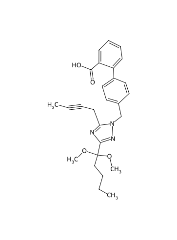 CC#CCc1nc(C(CCCC)(OC)OC)nn1Cc1ccc(-c2ccccc2C(=O)O)cc1